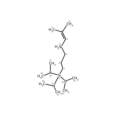 CC(C)=C[SiH2]CCC[Si](N(C)C)(N(C)C)N(C)C